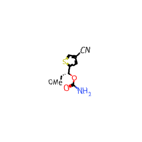 COC[C@@H](OC(N)=O)c1cc(C#N)cs1